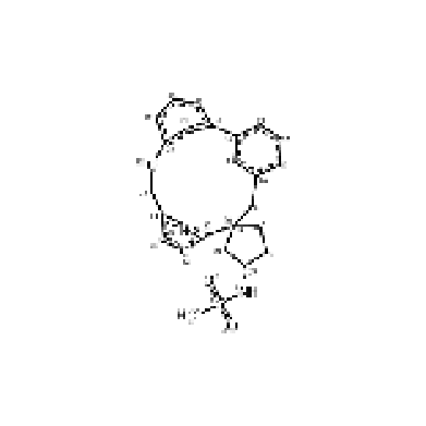 CS(=O)(=O)N[C@H]1CC[C@@]2(Cc3cccc(c3)-c3cccc(c3)OCc3coc2n3)C1